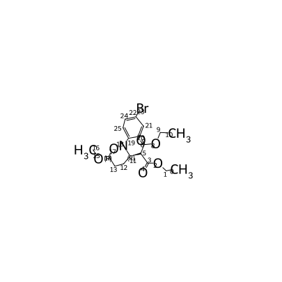 CCOC(=O)C(C(=O)OCC)[C@H]1CC[C@H](OC)ON1c1ccc(Br)cc1